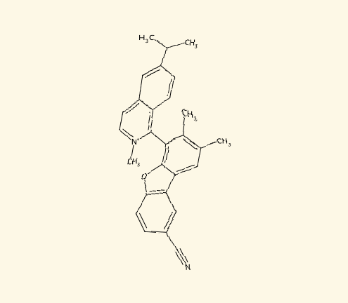 Cc1cc2c(oc3ccc(C#N)cc32)c(-c2c3ccc(C(C)C)cc3cc[n+]2C)c1C